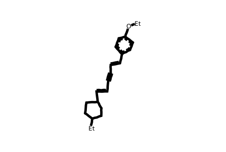 CCOc1ccc(C=CC#CC=CC2CCC(CC)CC2)cc1